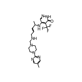 Cc1cnc(N2CCN(CNC/C=C/C(C)Nc3cn[nH]c(=O)c3C(F)(F)F)CC2)nc1